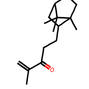 C=C(C)C(=O)CCC1CC2CCC1(C)C2(C)C